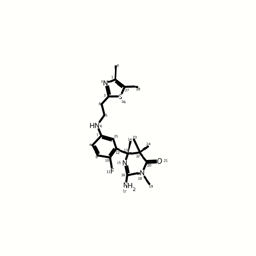 Cc1nc(CCNc2ccc(F)c([C@@]3(C)N=C(N)N(C)C(=O)C3(C)C)c2)sc1C